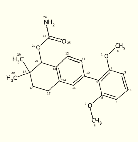 COc1cccc(OC)c1-c1ccc2c(c1)CCC(C)(C)C2OC(N)=O